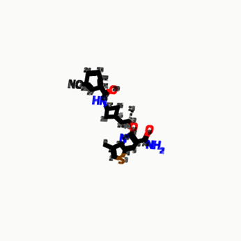 Cc1csc2cc(C(N)=O)c(O[C@@H](C)CC3CC(NC(=O)c4cccc(C#N)c4)C3)nc12